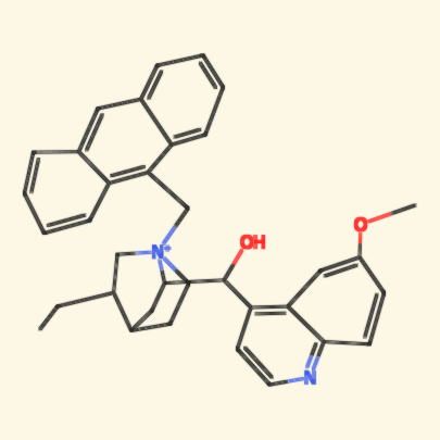 CCC1C[N+]2(Cc3c4ccccc4cc4ccccc34)CCC1CC2C(O)c1ccnc2ccc(OC)cc12